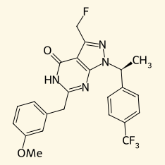 COc1cccc(Cc2nc3c(c(CF)nn3[C@@H](C)c3ccc(C(F)(F)F)cc3)c(=O)[nH]2)c1